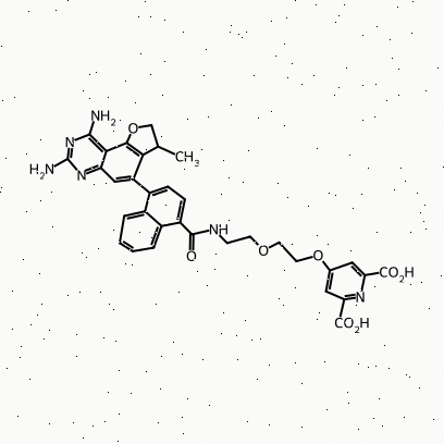 CC1COc2c1c(-c1ccc(C(=O)NCCOCCOc3cc(C(=O)O)nc(C(=O)O)c3)c3ccccc13)cc1nc(N)nc(N)c21